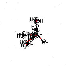 C[C@H](O)C(CO)OC(OCCCCC(=O)NCCCNC(=O)CCOCC(COCCC(=O)NCCCNC(=O)CCCCOC1OC(CO)C(O)C(O)C1O)(COCCC(=O)NCCCNC(=O)CCCCOC1OC(CO)C(O)C(O)C1O)NC(=O)CCCCCCCCCCC(=O)O)[C@H](O)CO